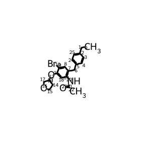 CCc1ccc(Cc2cc(Br)c(O[C@H]3CCOC3)cc2NC(C)=O)cc1